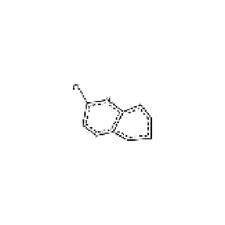 Clc1c[c]c2ccccc2n1